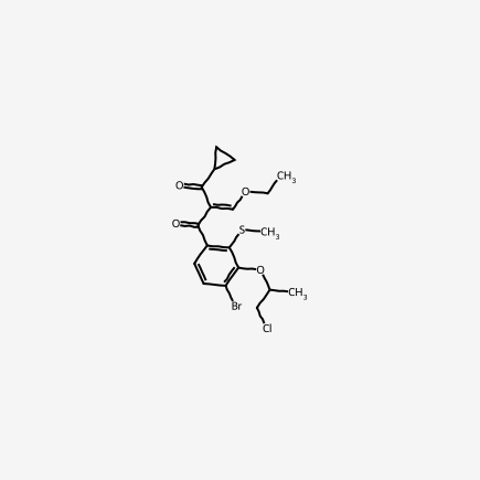 CCOC=C(C(=O)c1ccc(Br)c(OC(C)CCl)c1SC)C(=O)C1CC1